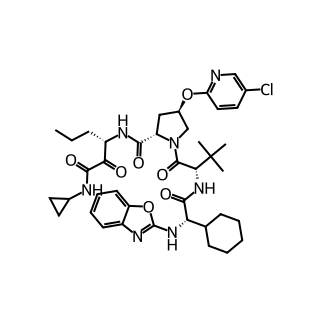 CCC[C@H](NC(=O)[C@@H]1C[C@@H](Oc2ccc(Cl)cn2)CN1C(=O)[C@@H](NC(=O)[C@@H](Nc1nc2ccccc2o1)C1CCCCC1)C(C)(C)C)C(=O)C(=O)NC1CC1